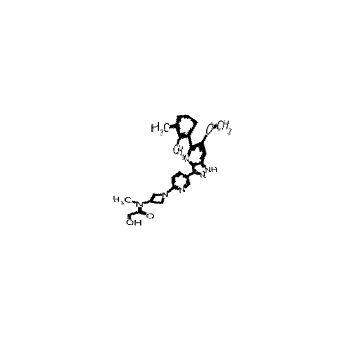 COc1cc2[nH]nc(-c3ccc(N4CC(N(C)C(=O)CO)C4)nc3)c2nc1-c1cccc(C)c1C